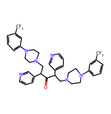 O=C(C(CN1CCN(c2cccc(C(F)(F)F)c2)CC1)c1cccnc1)C(CN1CCN(c2cccc(C(F)(F)F)c2)CC1)c1cccnc1